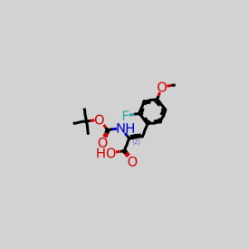 COc1ccc(/C=C(\NC(=O)OC(C)(C)C)C(=O)O)c(F)c1